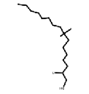 CCCCCCCCC(C)(C)CCCCCC(Cl)CO